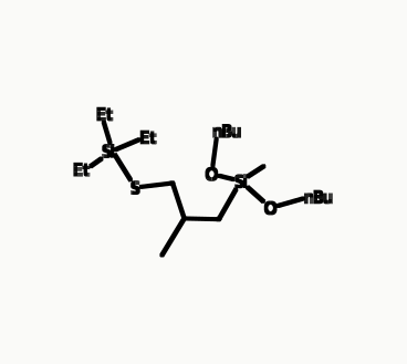 CCCCO[Si](C)(CC(C)CS[Si](CC)(CC)CC)OCCCC